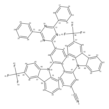 N#Cc1ccc(-c2ccc(-c3nc(-c4ccccc4)nc(-c4ccccc4)n3)cc2-n2c3ccccc3c3cc(C(F)(F)F)ccc32)c(-n2c3ccccc3c3cc(C(F)(F)F)ccc32)c1